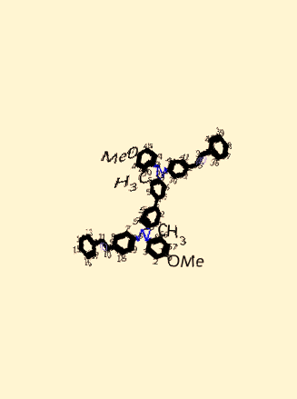 COc1ccc(N(c2ccc(/C=C/c3ccccc3)cc2)c2ccc(-c3ccc(N(c4ccc(/C=C/c5ccccc5)cc4)c4ccc(OC)cc4C)cc3)cc2)c(C)c1